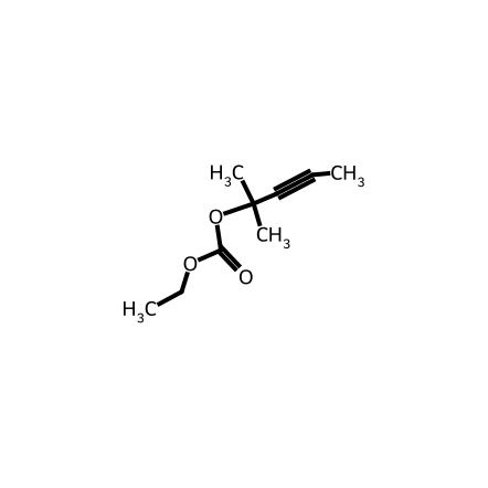 CC#CC(C)(C)OC(=O)OCC